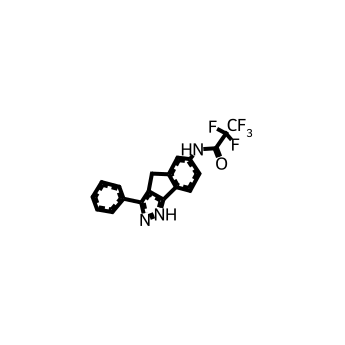 O=C(Nc1ccc2c(c1)Cc1c(-c3ccccc3)n[nH]c1-2)C(F)(F)C(F)(F)F